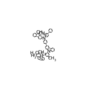 Cc1cc(-c2sc(C(C)(C)C)c3c2OCCO3)cc(-n2c3ccccc3c3cc(-c4ccc(N(c5ccc(-c6ccccc6)cc5)c5ccc6c(c5)C(C)(C)c5ccccc5-6)cc4)ccc32)c1